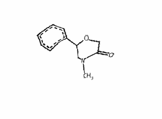 CN1CC(c2ccccc2)OCC1=O